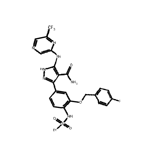 CCS(=O)(=O)Nc1ccc(-c2n[nH]c(Nc3cncc(C(F)(F)F)n3)c2C(N)=O)cc1OCc1ccc(F)cc1